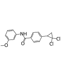 COc1cccc(NC(=O)c2ccc(C3CC3(Cl)Cl)cc2)c1